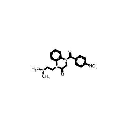 CN(C)CCN1C(=O)CN(C(=O)c2ccc([N+](=O)[O-])cc2)c2ccccc21